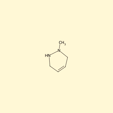 CN1CC=CCN1